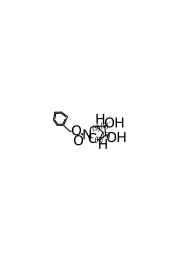 O=C(OCc1ccccc1)N1C[C@H]2C[C@@H](C1)[C@H](O)[C@H]2O